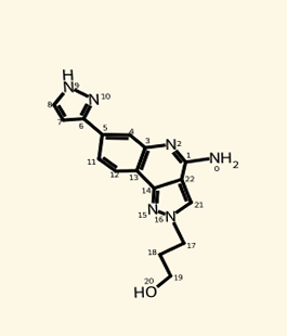 Nc1nc2cc(-c3cc[nH]n3)ccc2c2nn(CCCO)cc12